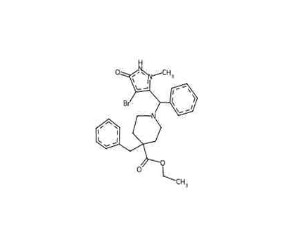 CCOC(=O)C1(Cc2ccccc2)CCN(C(c2ccccc2)c2c(Br)c(=O)[nH]n2C)CC1